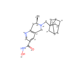 CC[C@@H]1Cc2ncc(C(=O)NO)cc2CN1CC12CC3CC(CC(C3)C1)C2